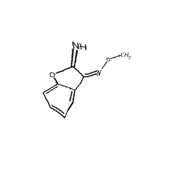 CO/N=C1\C(=N)Oc2ccccc21